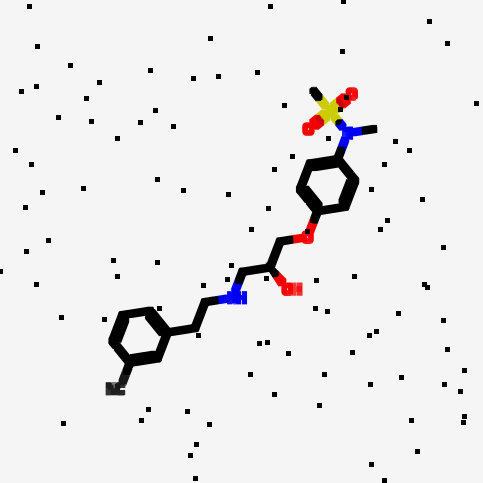 CN(c1ccc(OC[C@@H](O)CNCCc2cccc(C#N)c2)cc1)S(C)(=O)=O